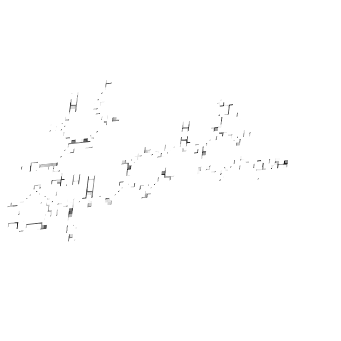 COc1ccc(Nc2ccc(CNC(=O)[C@]3(NC(=O)c4cnc(C)nc4)CCOC3)cc2)c(C(F)(F)F)c1